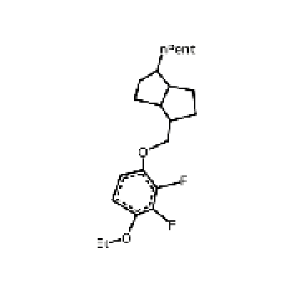 CCCCCC1CCC2C(COc3ccc(OCC)c(F)c3F)CCC12